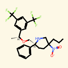 CCCC1([N+](=O)[O-])CC[C@@](CO[C@H](C)c2cc(C(F)(F)F)cc(C(F)(F)F)c2)(c2ccccc2)NC1